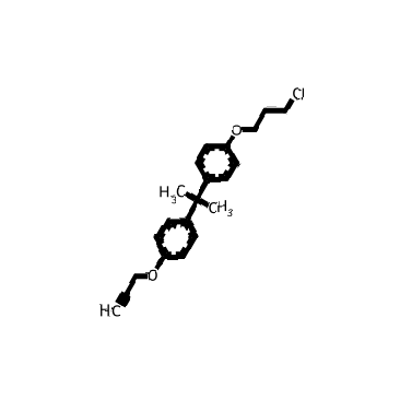 C#CCOc1ccc(C(C)(C)c2ccc(OCCCCl)cc2)cc1